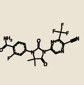 CC1(C)C(=O)N(c2cnc(C#N)c(C(F)(F)F)n2)C(=O)N1c1ccc(C(N)=O)c(F)c1